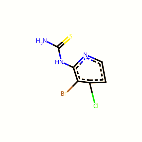 NC(=S)Nc1nccc(Cl)c1Br